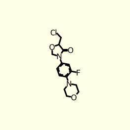 O=C1C(CCl)OCN1c1ccc(N2CCOCC2)c(F)c1